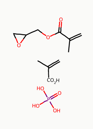 C=C(C)C(=O)O.C=C(C)C(=O)OCC1CO1.O=P(O)(O)O